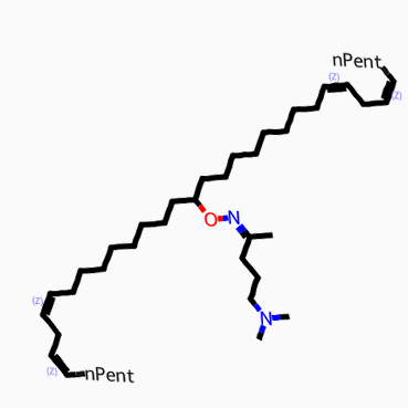 CCCCC/C=C\C/C=C\CCCCCCCCC(CCCCCCCC/C=C\C/C=C\CCCCC)ON=C(C)CCCN(C)C